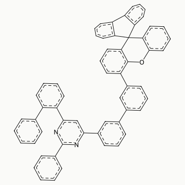 c1ccc(-c2nc(-c3cccc(-c4cccc(-c5cccc6c5Oc5ccccc5C65c6ccccc6-c6ccccc65)c4)c3)cc(-c3ccccc3-c3ccccc3)n2)cc1